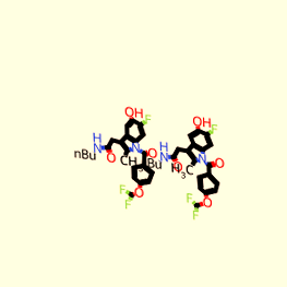 CCC(C)NC(=O)Cc1c(C)n(C(=O)c2ccc(OC(F)F)cc2)c2cc(F)c(O)cc12.CCCCNC(=O)Cc1c(C)n(C(=O)c2ccc(OC(F)F)cc2)c2cc(F)c(O)cc12